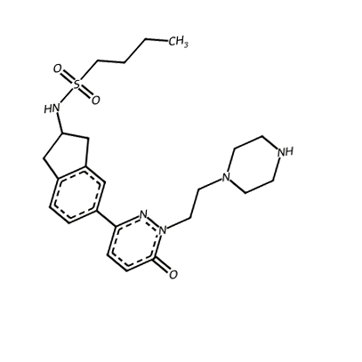 CCCCS(=O)(=O)NC1Cc2ccc(-c3ccc(=O)n(CCN4CCNCC4)n3)cc2C1